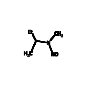 CCC(C)N(C)N=O